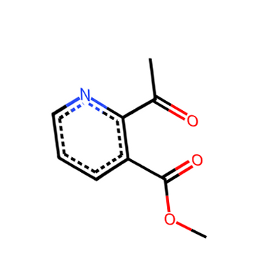 COC(=O)c1cccnc1C(C)=O